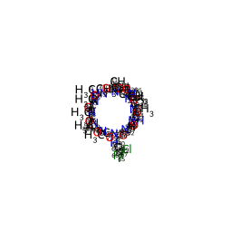 CC[C@H](C)[C@@H]1NC(=O)[C@H](CC(C)C)N(C)C(=O)C[C@@H](C(=O)N2CCCCC2)N(C)C(=O)[C@H](C2CCCCC2)N(C)C(=O)C2(CCCC2)NC(=O)[C@@H]2CCCN2C(=O)[C@H](CCc2ccc(C(F)(F)F)c(Cl)c2)NC(=O)CN(C)C(=O)[C@H](CC2CC2)N(C)C(=O)CN(C)C(=O)CN(C)C1=O